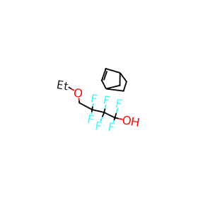 C1=CC2CCC1C2.CCOCC(F)(F)C(F)(F)C(O)(F)F